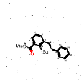 COC(=O)c1cccc(CCc2ccccc2)c1C(C)(C)C